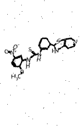 COC1C#CC([N+](=O)[O-])=CC1NC(=S)NC1=CC(C2NC3CC=NCC3S2)CCC1